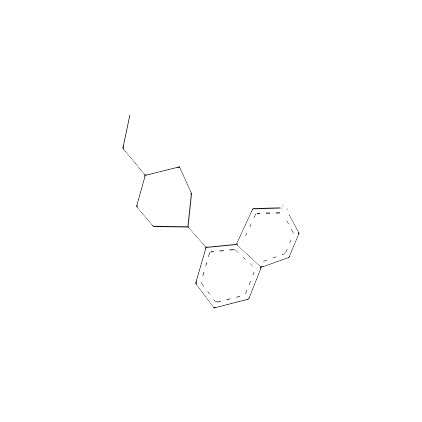 CCC1CCC(c2cccc3ccncc23)CC1